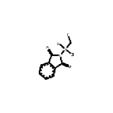 O=C1c2ccccc2C(=O)N1S(Cl)(Cl)CF